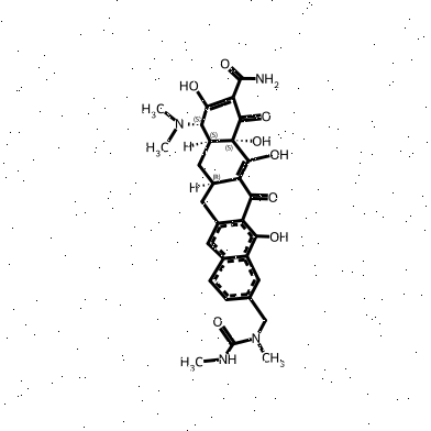 CNC(=O)N(C)Cc1ccc2cc3c(c(O)c2c1)C(=O)C1=C(O)[C@]2(O)C(=O)C(C(N)=O)=C(O)[C@@H](N(C)C)[C@@H]2C[C@@H]1C3